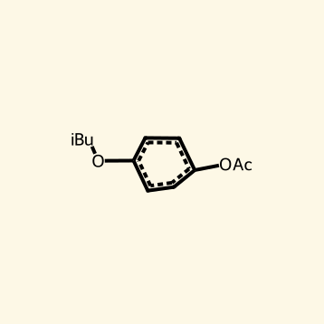 CCC(C)Oc1ccc(OC(C)=O)cc1